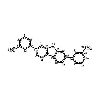 CC(C)(C)c1cccc(-c2ccc3c(c2)[CH]c2cc(-c4cccc(C(C)(C)C)c4)ccc2-3)c1